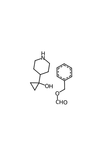 O=COCc1ccccc1.OC1(C2CCNCC2)CC1